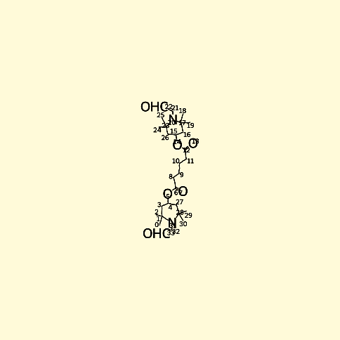 CC1(C)CC(OC(=O)CCCCC(=O)OC2CC(C)(C)N(CC=O)C(C)(C)C2)CC(C)(C)N1CC=O